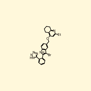 CCc1cc(OCc2ccc3[nH]c(-c4ccccc4-c4nnn[nH]4)c(Br)c3c2)c2c(n1)CCCC2